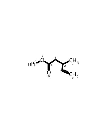 C=CC(C)CC(=O)OCCC